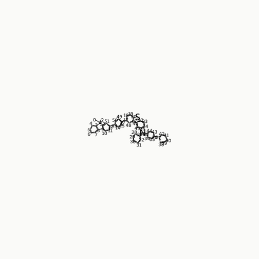 CC1(C)c2ccccc2-c2ccc(-c3ccc(-c4ccc5sc6ccc(N(c7ccccc7)c7ccc(-c8ccccc8)cc7)cc6c5c4)cc3)cc21